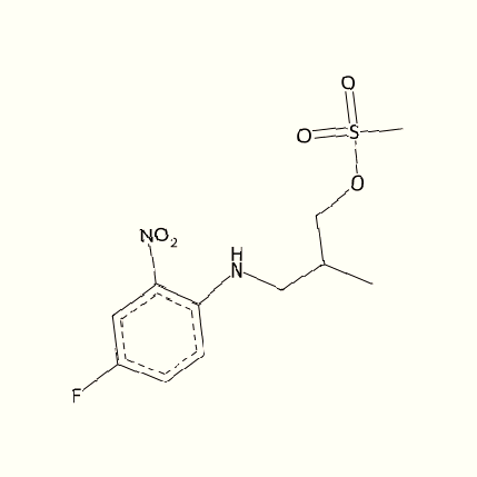 CC(CNc1ccc(F)cc1[N+](=O)[O-])COS(C)(=O)=O